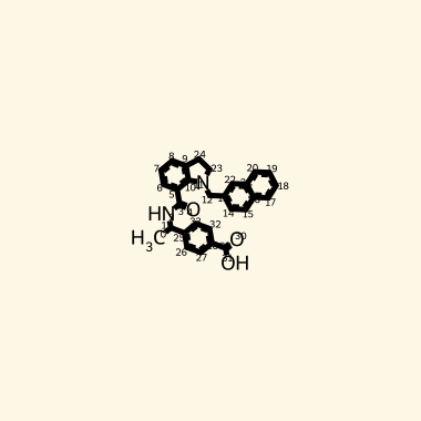 CC(NC(=O)c1cccc2c1N(Cc1ccc3ccccc3c1)CC2)c1ccc(C(=O)O)cc1